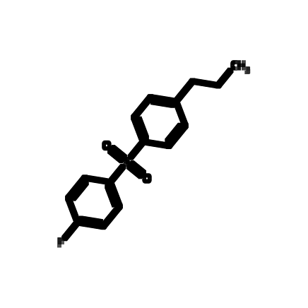 CCCc1ccc(S(=O)(=O)c2ccc(F)cc2)cc1